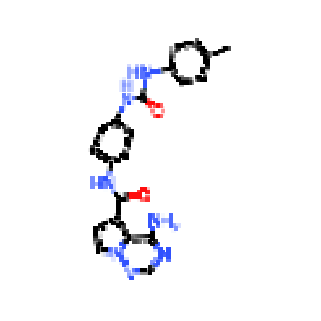 Cc1ccc(NC(=O)Nc2ccc(NC(=O)c3ccn4ncnc(N)c34)cc2)cc1